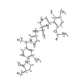 Cc1ccc(OC(F)P)c(-c2cncc(C(=O)Nc3cnn(C(C)c4cnc(N5CC[C@@H](C)C5=O)c(C)n4)c3)n2)c1F